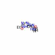 [2H]C([2H])([2H])NC(=O)c1ccc(N2CCN(Cc3cnc4cc(CC)c(=O)[nH]c4c3)C[C@H]2C)cn1